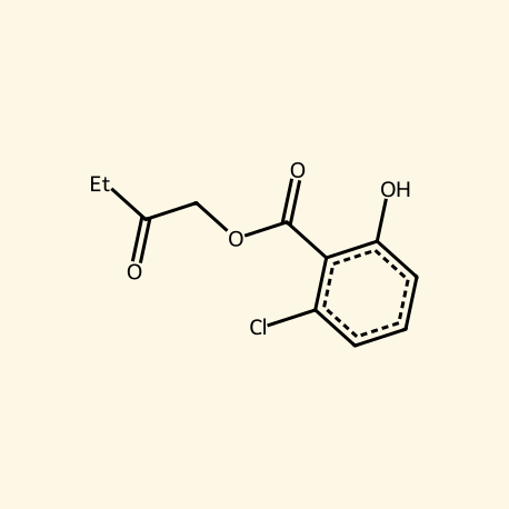 CCC(=O)COC(=O)c1c(O)cccc1Cl